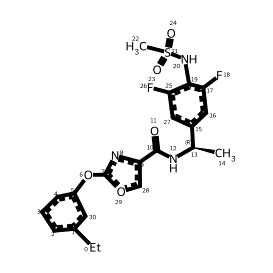 CCc1cccc(Oc2nc(C(=O)N[C@H](C)c3cc(F)c(NS(C)(=O)=O)c(F)c3)co2)c1